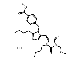 CCCCc1ncc(C=C2C(=O)N(COC)C(=O)N2CCCC)n1Cc1ccc(C(=O)OC)cc1.Cl